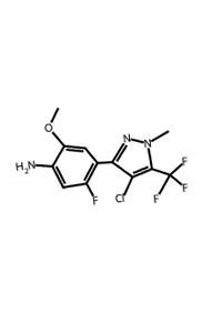 COc1cc(-c2nn(C)c(C(F)(F)F)c2Cl)c(F)cc1N